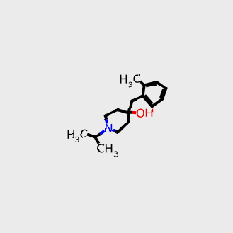 Cc1ccccc1CC1(O)CCN(C(C)C)CC1